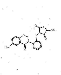 Cc1ccc2c(c1)C(=O)N(c1ccccc1CN1C(=O)SC(OCC(C)C)C1=O)CO2